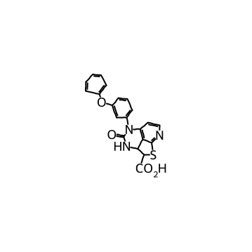 O=C(O)C1Sc2nccc3c2C1NC(=O)N3c1cccc(Oc2ccccc2)c1